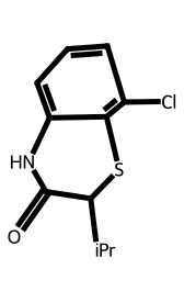 CC(C)C1Sc2c(Cl)cccc2NC1=O